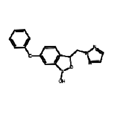 OB1OC(Cn2nccn2)c2ccc(Oc3ccccc3)cc21